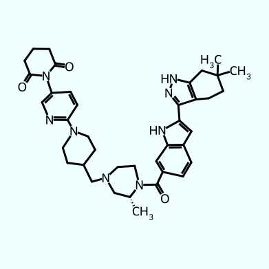 C[C@@H]1CN(CC2CCN(c3ccc(N4C(=O)CCCC4=O)cn3)CC2)CCN1C(=O)c1ccc2cc(-c3n[nH]c4c3CCC(C)(C)C4)[nH]c2c1